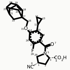 N#C[C@H]1C[C@@H](C(=O)O)N(C(=O)c2cc(C3CC3)c(OCC34C=C5CC(C3)C(C5)C4)cc2F)C1